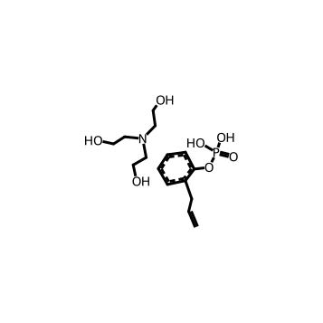 C=CCc1ccccc1OP(=O)(O)O.OCCN(CCO)CCO